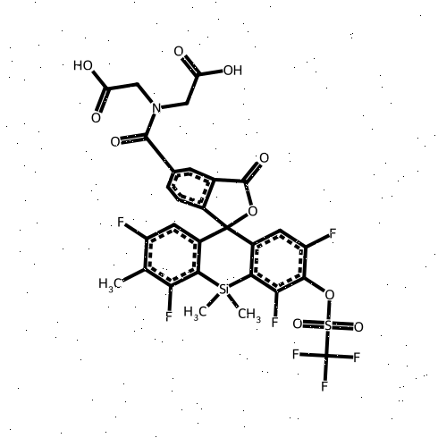 Cc1c(F)cc2c(c1F)[Si](C)(C)c1c(cc(F)c(OS(=O)(=O)C(F)(F)F)c1F)C21OC(=O)c2cc(C(=O)N(CC(=O)O)CC(=O)O)ccc21